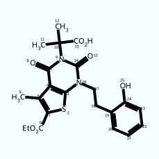 CCOC(=O)c1sc2c(c1C)c(=O)n(C(C)(C)C(=O)O)c(=O)n2CCc1ccccc1O